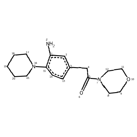 Nc1cc(CC(=O)N2CCOCC2)ccc1N1CCCCC1